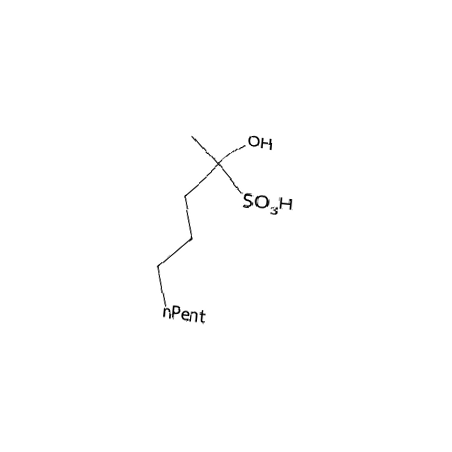 CCCCCCCCC(C)(O)S(=O)(=O)O